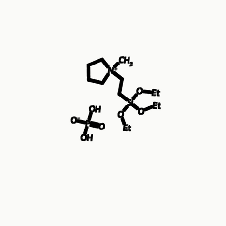 CCO[Si](CC[N+]1(C)CCCC1)(OCC)OCC.O=P([O-])(O)O